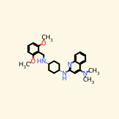 COc1cccc(OC)c1CN[C@H]1CC[C@@H](Nc2cc(N(C)C)c3ccccc3n2)CC1